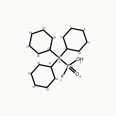 O=P(O)(F)[B-](C1CCCCC1)(C1CCCCC1)C1CCCCC1